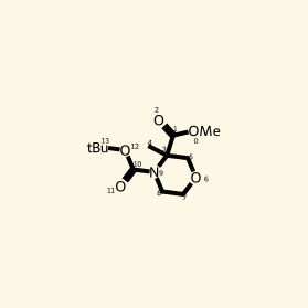 COC(=O)C1(C)COCCN1C(=O)OC(C)(C)C